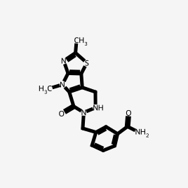 Cc1nc2c(s1)c1c(n2C)C(=O)N(Cc2cccc(C(N)=O)c2)NC1